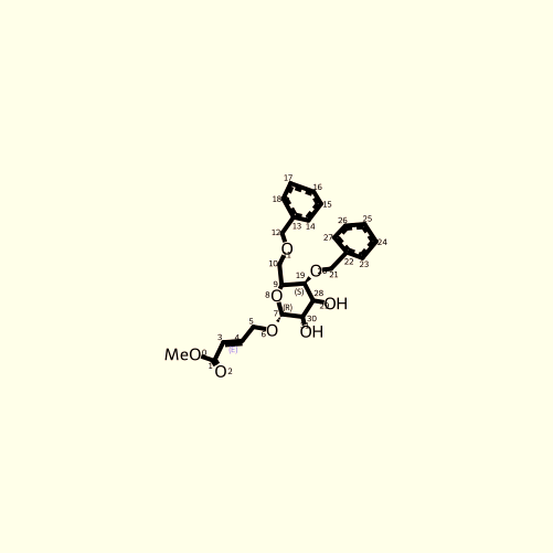 COC(=O)/C=C/CO[C@@H]1OC(COCc2ccccc2)[C@@H](OCc2ccccc2)C(O)C1O